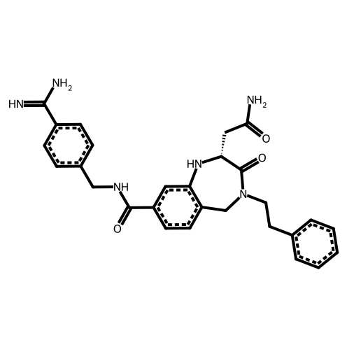 N=C(N)c1ccc(CNC(=O)c2ccc3c(c2)N[C@H](CC(N)=O)C(=O)N(CCc2ccccc2)C3)cc1